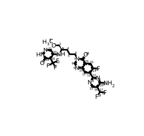 COC[C@@H](CCCn1cnc2cc(-c3ncc(C(F)F)c(N)n3)c(F)cc2c1=O)Nc1cn[nH]c(=O)c1C(F)(F)F